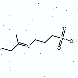 CC/C(C)=N/CCCS(=O)(=O)O